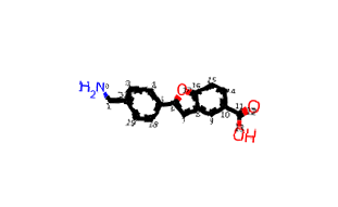 NCc1ccc(-c2cc3cc(C(=O)O)ccc3o2)cc1